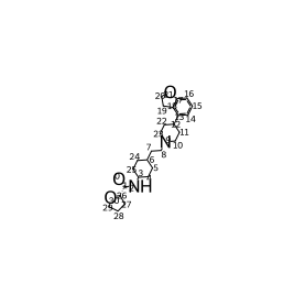 O=C(NC1CCC(CCN2CCC(c3cccc4c3CCO4)CC2)CC1)[C@@H]1CCCO1